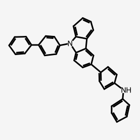 c1ccc(Nc2ccc(-c3ccc4c(c3)c3ccccc3n4-c3ccc(-c4ccccc4)cc3)cc2)cc1